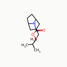 CCC1CC2CCC(C1)N2C(=O)OCC(C)C